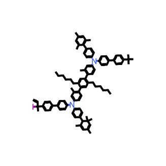 C=CC(C)(I)c1ccc(-c2ccc(N(c3ccc(C4C(C)=CC(C)=CC4(C)C)cc3)c3ccc(-c4cc(CCCCCC)c(-c5ccc(N(c6ccc(-c7ccc(C(C)(C)C)cc7)cc6)c6ccc(-c7c(C)cc(C)cc7C)cc6)cc5C)cc4CCCCCC)c(C)c3)cc2)cc1